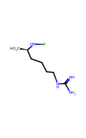 N=C(N)NCCCC[C@H](NF)C(=O)O